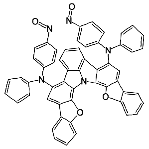 O=Nc1ccc(N(c2ccccc2)c2cc3c4ccccc4oc3c3c2c2cccc4c5c(N(c6ccccc6)c6ccc(N=O)cc6)cc6c7ccccc7oc6c5n3c24)cc1